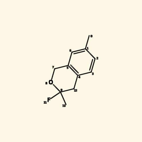 Cc1ccc2c(c1)COC(C)(F)C2